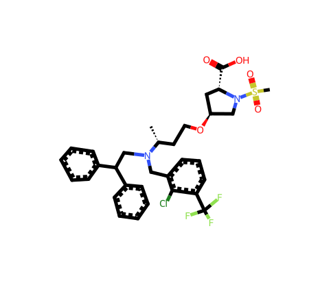 C[C@H](CCO[C@H]1C[C@H](C(=O)O)N(S(C)(=O)=O)C1)N(Cc1cccc(C(F)(F)F)c1Cl)CC(c1ccccc1)c1ccccc1